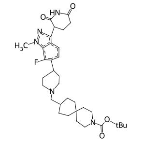 Cn1nc(C2CCC(=O)NC2=O)c2ccc(C3CCN(CC4CCC5(CC4)CCN(C(=O)OC(C)(C)C)CC5)CC3)c(F)c21